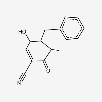 CC1C(=O)C(C#N)=CC(O)C1Cc1ccccc1